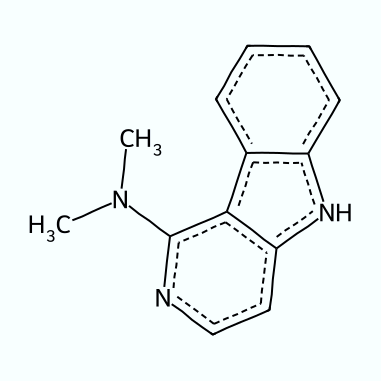 CN(C)c1nccc2[nH]c3ccccc3c12